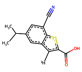 [2H]c1c(C(=O)O)sc2c(C#N)cc(C(C)C)cc12